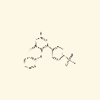 Cc1cc(-c2ccc(S(C)(=O)=O)cc2)c(Sc2ccccc2)c(=O)o1